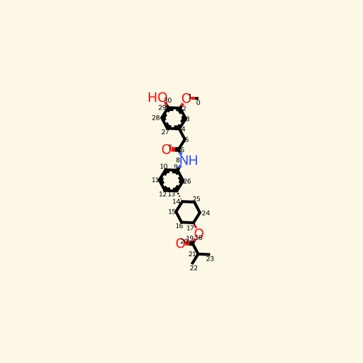 COc1cc(CC(=O)Nc2cccc([C@H]3CC[C@H](OC(=O)C(C)C)CC3)c2)ccc1O